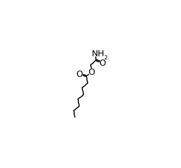 CCCCCCCC(=O)OCC(N)=O